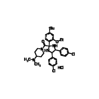 CCOc1cc(C(C)(C)C)ccc1C1(C(=O)N2CCC(N(C)C)CC2)NC(c2ccc(Cl)cc2)C(c2ccc(Cl)cc2)N1.Cl